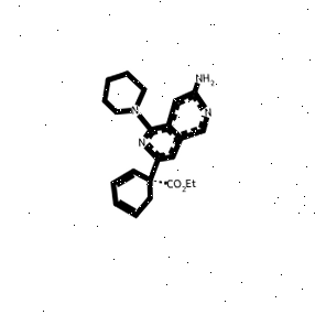 CCOC(=O)[C@@]1(c2cc3cnc(N)cc3c(N3CCCCC3)n2)C=CC=CC1